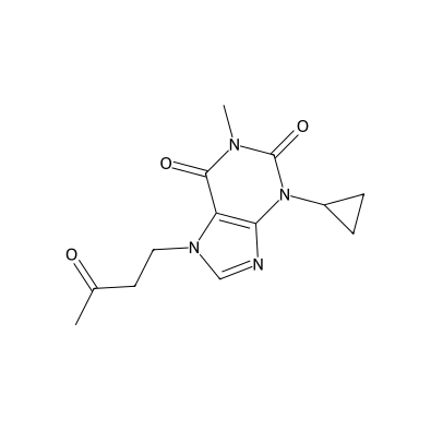 CC(=O)CCn1cnc2c1c(=O)n(C)c(=O)n2C1CC1